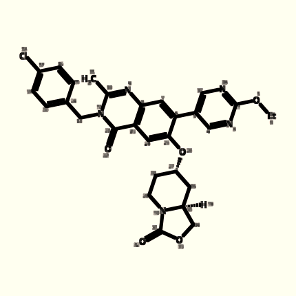 CCOc1ncc(-c2cc3nc(C)n(Cc4ccc(Cl)cc4)c(=O)c3cc2O[C@H]2CCN3C(=O)OC[C@@H]3C2)cn1